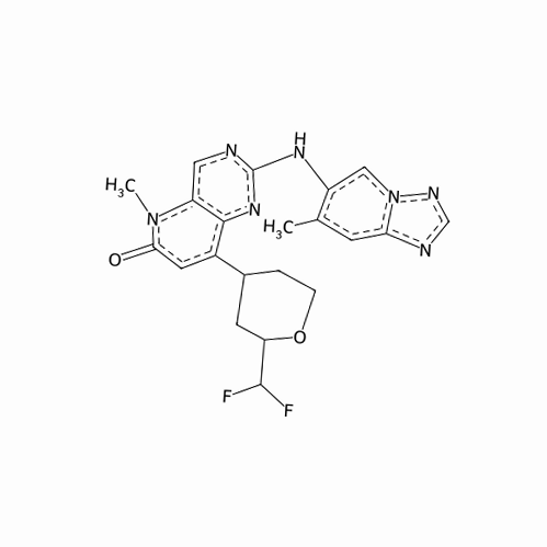 Cc1cc2ncnn2cc1Nc1ncc2c(n1)c(C1CCOC(C(F)F)C1)cc(=O)n2C